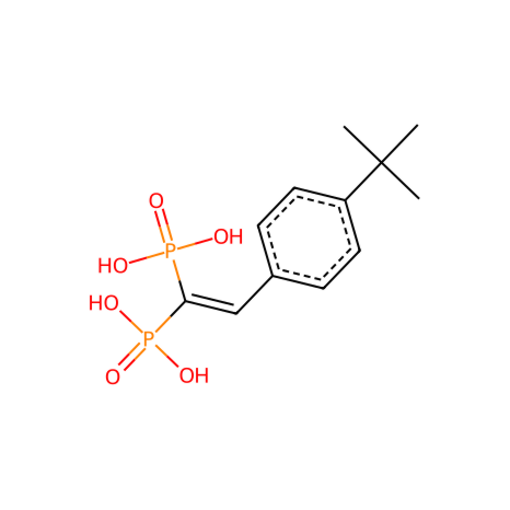 CC(C)(C)c1ccc(C=C(P(=O)(O)O)P(=O)(O)O)cc1